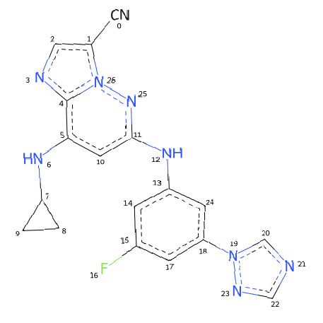 N#Cc1cnc2c(NC3CC3)cc(Nc3cc(F)cc(-n4cncn4)c3)nn12